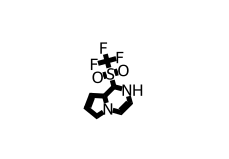 O=S(=O)(C1NC=CN2CC=CC12)C(F)(F)F